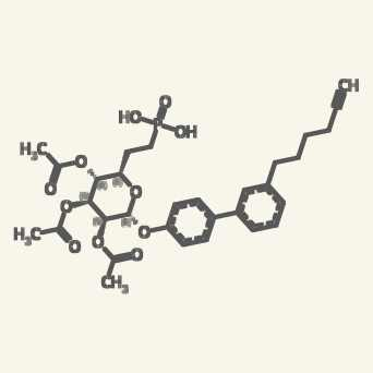 C#CCCCCc1cccc(-c2ccc(O[C@H]3O[C@H](CCP(=O)(O)O)[C@@H](OC(C)=O)[C@H](OC(C)=O)[C@@H]3OC(C)=O)cc2)c1